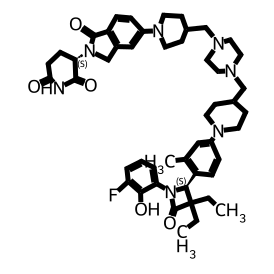 CCC1(CC)C(=O)N(c2cccc(F)c2O)[C@H]1c1ccc(N2CCC(CN3CCN(CC4CCN(c5ccc6c(c5)CN([C@H]5CCC(=O)NC5=O)C6=O)CC4)CC3)CC2)cc1C